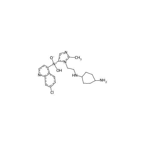 Cc1ncc([N+]([O-])(O)c2ccnc3cc(Cl)ccc23)n1CCNC1CCC(N)CC1